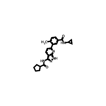 Cc1ccc(C(=O)NC2CC2)cc1-c1ccc2c(NC(=O)C3CCCC3)n[nH]c2n1